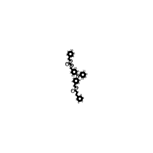 O=C(CCc1ccccc1)OCc1ccc(N(c2ccccc2)c2ccc(COC(=O)OCc3ccccc3)cc2)cc1